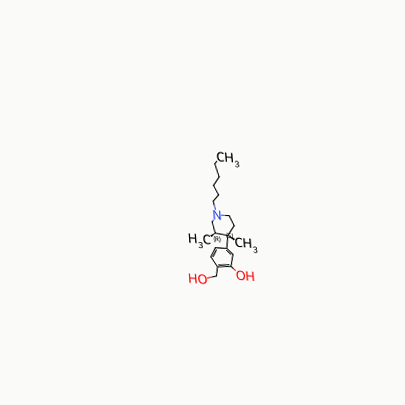 CCCCCCN1CC[C@](C)(c2ccc(CO)c(O)c2)[C@@H](C)C1